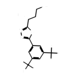 CCC[C@@H](O)c1nnc(-c2cc(C(F)(F)F)cc(C(F)(F)F)c2)o1